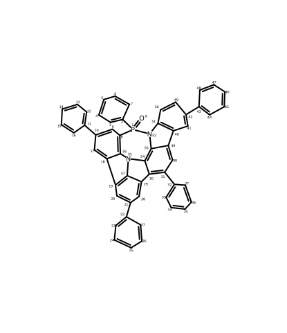 O=P1(c2ccccc2)c2cc(-c3ccccc3)cc3c4cc(-c5ccccc5)cc5c6c(-c7ccccc7)cc7c8cc(-c9ccccc9)ccc8n1c7c6n(c23)c45